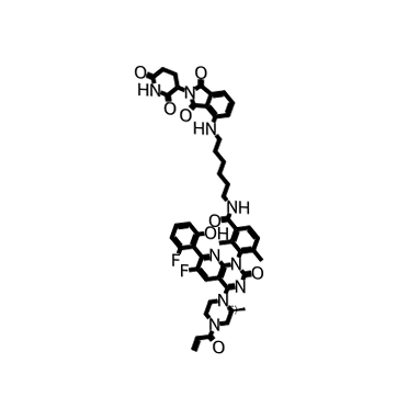 C=CC(=O)N1CCN(c2nc(=O)n(-c3c(C)ccc(C(=O)NCCCCCCNc4cccc5c4C(=O)N(C4CCC(=O)NC4=O)C5=O)c3C)c3nc(-c4c(O)cccc4F)c(F)cc23)[C@@H](C)C1